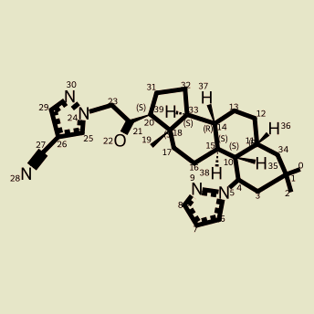 CC1(C)CC(n2cccn2)[C@H]2[C@H](CC[C@@H]3[C@@H]2CC[C@]2(C)[C@@H](C(=O)Cn4cc(C#N)cn4)CC[C@@H]32)C1